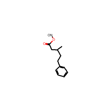 CC(CCc1ccccc1)CC(=O)ON=O